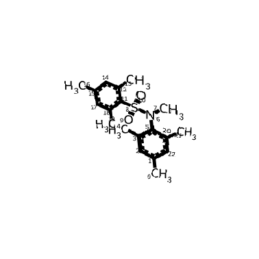 Cc1cc(C)c(N(C)S(=O)(=O)c2c(C)cc(C)cc2C)c(C)c1